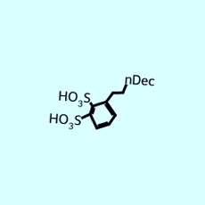 CCCCCCCCCCCCc1cccc(S(=O)(=O)O)c1S(=O)(=O)O